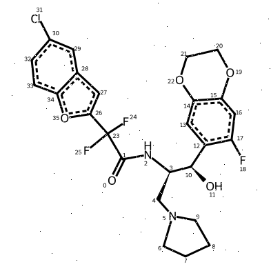 O=C(N[C@H](CN1CCCC1)[C@H](O)c1cc2c(cc1F)OCCO2)C(F)(F)c1cc2cc(Cl)ccc2o1